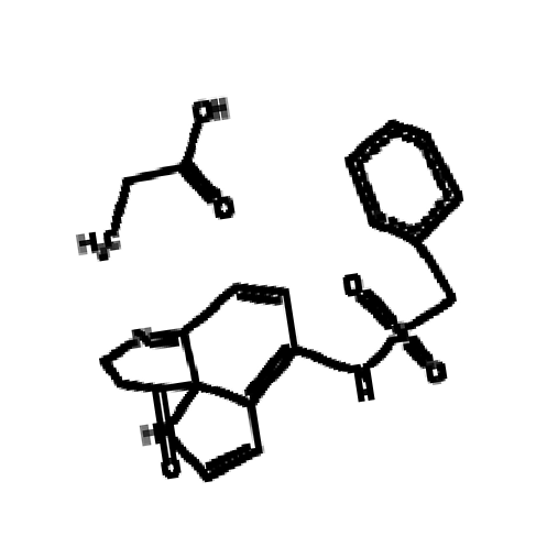 CCC(=O)O.O=C1CCN=C2C=CC(NS(=O)(=O)Cc3ccccc3)=C3C=CNC123